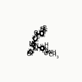 CNC(=O)Nc1ccc(-c2nc(N3CCOCC3)c3cnn(C4CCN(C(=O)c5cccc(C(F)(F)F)c5)CC4)c3n2)cc1